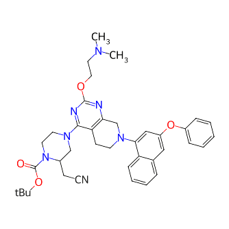 CN(C)CCOc1nc2c(c(N3CCN(C(=O)OC(C)(C)C)C(CC#N)C3)n1)CCN(c1cc(Oc3ccccc3)cc3ccccc13)C2